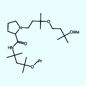 COC(C)(C)CCOC(C)(C)CCN1CCCC1C(=O)NC(C)(C)CC(C)(C)OC(C)C